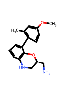 COc1ccc(-c2cccc3c2O[C@@H](CN)CN3)c(C)c1